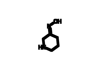 ON=C1CCCNC1